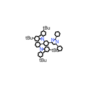 CC(C)(C)c1ccc2c(c1)c1cc(C(C)(C)C)ccc1n2-c1ccccc1-c1ccc(-c2cc(-c3ccccc3)nc(-c3ccccc3)n2)cc1-n1c2ccc(C(C)(C)C)cc2c2cc(C(C)(C)C)ccc21